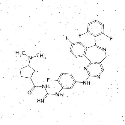 CN(C)C1CCC(C(=O)NC(=N)Nc2cc(Nc3ncc4c(n3)-c3ccc(I)cc3C(c3c(F)cccc3F)=NC4)ccc2F)C1